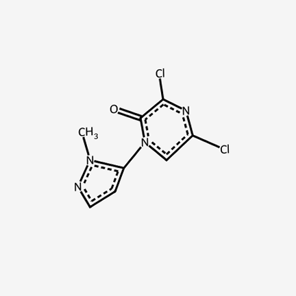 Cn1nccc1-n1cc(Cl)nc(Cl)c1=O